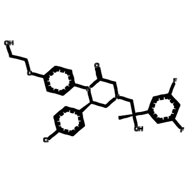 C[C@@](O)(CN1CC(=O)N(c2ccc(OCCO)cc2)[C@H](c2ccc(Cl)cc2)C1)c1cc(F)cc(F)c1